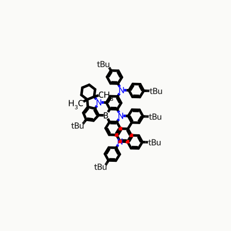 CC(C)(C)c1ccc(N(c2ccc(C(C)(C)C)cc2)c2ccc3c(c2)N(c2ccc(C(C)(C)C)cc2-c2ccccc2)c2cc(N(c4ccc(C(C)(C)C)cc4)c4ccc(C(C)(C)C)cc4)cc4c2B3c2cc(C(C)(C)C)cc3c2N4C2(C)CCCCC32C)cc1